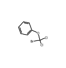 ClC(Cl)(Br)Oc1ccccc1